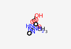 COc1cc(Nc2nc3ccccc3nc2N)c2c(c1)OC(CO)CO2